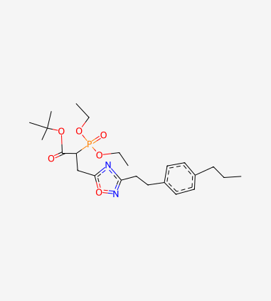 CCCc1ccc(CCc2noc(CC(C(=O)OC(C)(C)C)P(=O)(OCC)OCC)n2)cc1